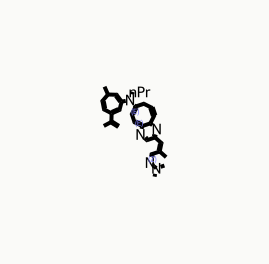 C=C(C)C1=CC(N(CCC)/C2=C/C=C3/N=CC(C=C(C)/C=N\N(C)C)=NC3C#CC2)=CC(C)C=C1